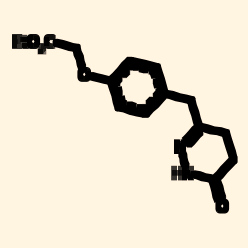 CCOC(=O)COc1ccc(CC2=NNC(=O)CC2)cc1